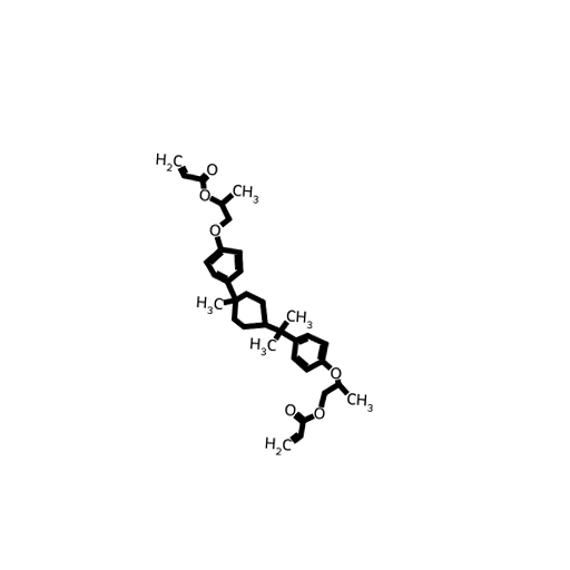 C=CC(=O)OCC(C)Oc1ccc(C(C)(C)C2CCC(C)(c3ccc(OCC(C)OC(=O)C=C)cc3)CC2)cc1